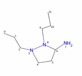 CCCN1CCC(N)N1CCC